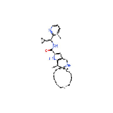 Cc1cccnc1C(NC(=O)c1cc2c([nH]1)C(C)C1(CCCCCCCCCC1)NC2)C1CC1